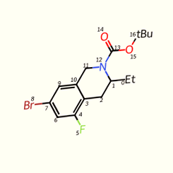 CCC1Cc2c(F)cc(Br)cc2CN1C(=O)OC(C)(C)C